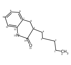 CCCCCC1Cc2ccccc2[N]C1=O